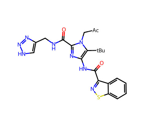 CC(=O)Cn1c(C(=O)NCc2c[nH]nn2)nc(NC(=O)c2nsc3ccccc23)c1C(C)(C)C